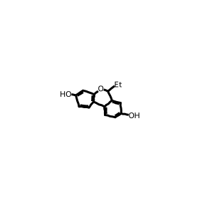 CCC1Oc2cc(O)ccc2-c2ccc(O)cc21